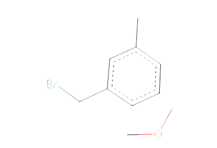 COC.Cc1cccc(CBr)c1